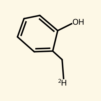 [2H]Cc1ccccc1O